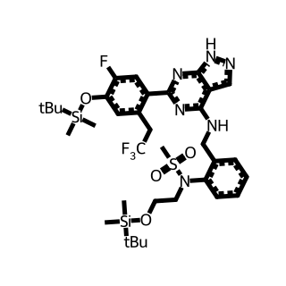 CC(C)(C)[Si](C)(C)OCCN(c1ccccc1CNc1nc(-c2cc(F)c(O[Si](C)(C)C(C)(C)C)cc2CC(F)(F)F)nc2[nH]ncc12)S(C)(=O)=O